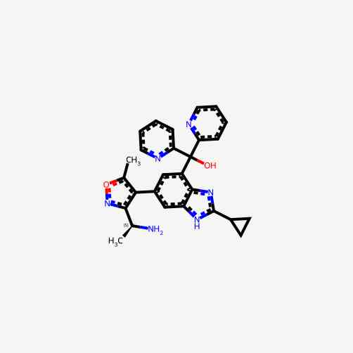 Cc1onc([C@H](C)N)c1-c1cc(C(O)(c2ccccn2)c2ccccn2)c2nc(C3CC3)[nH]c2c1